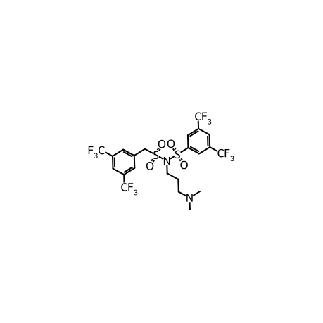 CN(C)CCCN(S(=O)(=O)Cc1cc(C(F)(F)F)cc(C(F)(F)F)c1)S(=O)(=O)c1cc(C(F)(F)F)cc(C(F)(F)F)c1